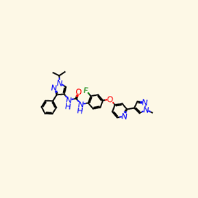 CC(C)n1cc(NC(=O)Nc2ccc(Oc3ccnc(-c4cnn(C)c4)c3)cc2F)c(-c2ccccc2)n1